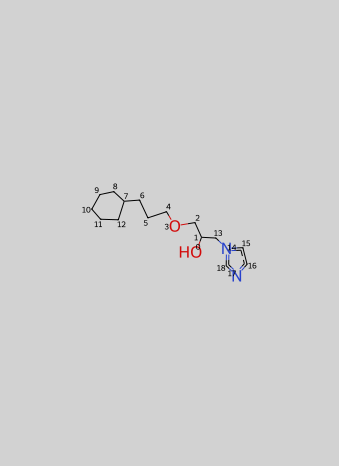 OC(COCCCC1CCCCC1)Cn1ccnc1